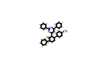 N#Cc1ccc(-c2ccc3c(sc4ccccc43)c2-c2cc(-c3ccccc3)nc(-c3ccccc3)n2)cc1